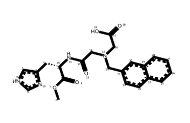 COC(=O)[C@H](Cc1c[nH]cn1)NC(=O)CN(CC(=O)O)Cc1ccc2ccccc2c1